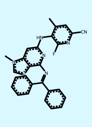 Cc1cc(C#N)nc(F)c1Nc1cc2c(ncn2C)c(N=C(c2ccccc2)c2ccccc2)n1